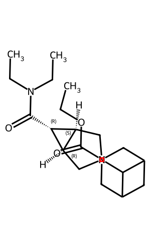 CCOC(=O)N1CC2CC(C1)C2N1C[C@@H]2[C@H](C1)[C@H]2C(=O)N(CC)CC